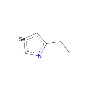 CCc1c[se]cn1